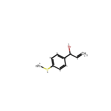 C=CC(Br)c1ccc(SCCC)cc1